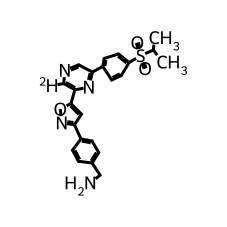 [2H]c1ncc(-c2ccc(S(=O)(=O)C(C)C)cc2)nc1-c1cc(-c2ccc(CN)cc2)no1